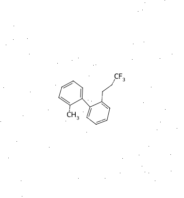 Cc1ccccc1-c1ccccc1CCC(F)(F)F